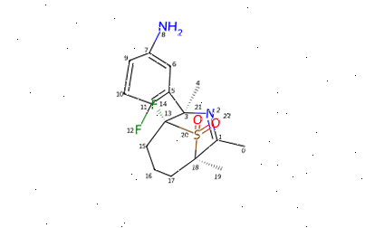 CC1=N[C@](C)(c2cc(N)ccc2F)[C@]2(F)CCC[C@@]1(C)S2(=O)=O